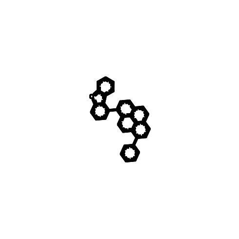 c1ccc(-c2ccc3ccc4ccc(-c5cccc6oc7ccccc7c56)c5ccc2c3c45)cc1